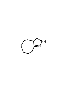 C1CCCC2CNN=C2CC1